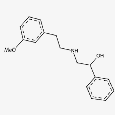 COc1cccc(CCNCC(O)c2ccccc2)c1